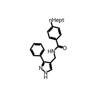 CCCCCCCc1ccc(C(=O)NCc2c[nH]nc2-c2ccccc2)cc1